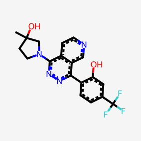 CC1(O)CCN(c2nnc(-c3ccc(C(F)(F)F)cc3O)c3cnccc23)C1